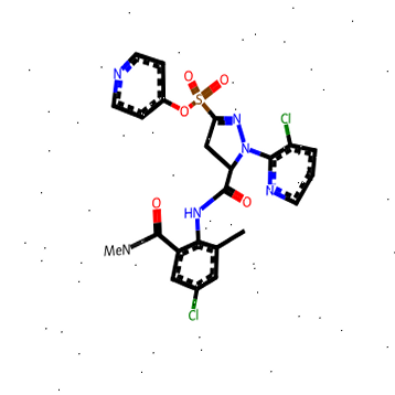 CNC(=O)c1cc(Cl)cc(C)c1NC(=O)C1CC(S(=O)(=O)Oc2ccncc2)=NN1c1ncccc1Cl